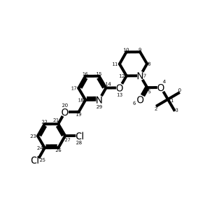 CC(C)(C)OC(=O)N1CCCCC1Oc1cccc(COc2ccc(Cl)cc2Cl)n1